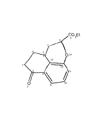 CCOC(=O)C1CN2CCC(=O)c3cccc(c32)O1